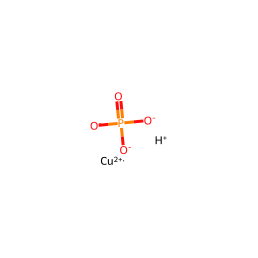 O=P([O-])([O-])[O-].[Cu+2].[H+]